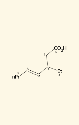 CCCC=CC(CC)CC(=O)O